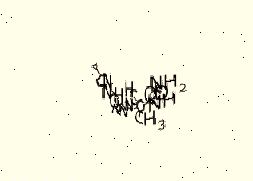 Cc1cc(C(=N)OC(N)=O)cc(C)c1CNc1cc(OCc2cn3cc(C4CC4)ccc3n2)ncn1